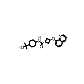 CC(C)(O)C1CCC(NC(=O)[C@H]2C[C@H](Oc3cccc4cccnc34)C2)CC1